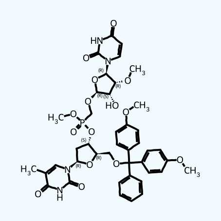 COc1ccc(C(OC[C@H]2O[C@@H](n3cc(C)c(=O)[nH]c3=O)C[C@@H]2OP(=O)(CO[C@H]2O[C@@H](n3ccc(=O)[nH]c3=O)[C@H](OC)[C@@H]2O)OC)(c2ccccc2)c2ccc(OC)cc2)cc1